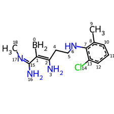 BC(=C(/N)CCNc1c(C)cccc1Cl)/C(N)=N\C